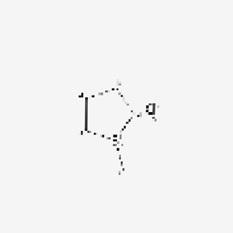 C[S+]1CCCC1.[Cl-]